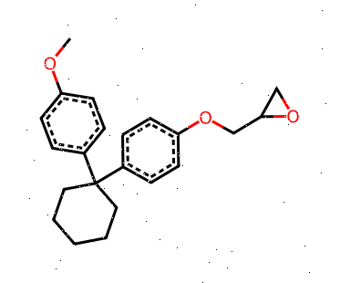 COc1ccc(C2(c3ccc(OCC4CO4)cc3)CCCCC2)cc1